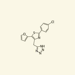 Clc1ccc(-c2nc(Cc3nnn[nH]3)c(-c3ccco3)s2)cc1